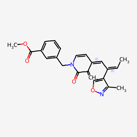 C=c1c(=O)n(Cc2cccc(C(=O)OC)c2)cc/c1=C/C(=C\C)c1conc1C